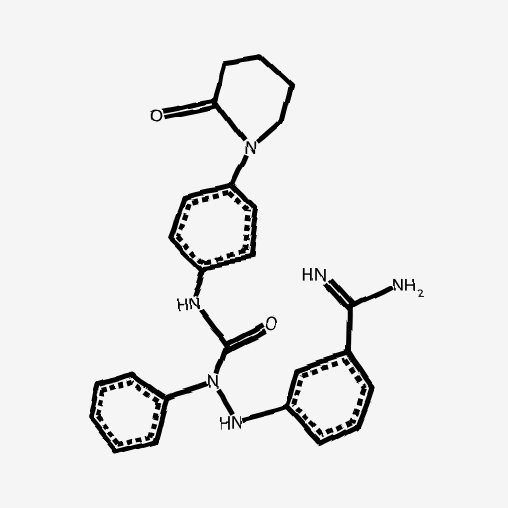 N=C(N)c1cccc(NN(C(=O)Nc2ccc(N3CCCCC3=O)cc2)c2ccccc2)c1